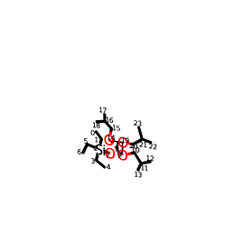 CC[Si](CC)(CC)[O][Ti]([O]CC(C)C)([O]CC(C)C)[O]CC(C)C